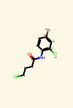 O=C(CCCCl)Nc1ccc(Br)cc1Cl